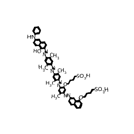 Cc1cc(N=Nc2cc(C)c(N=Nc3cc(C)c(N=Nc4ccc5cc(Nc6ccccc6)ccc5c4O)cc3C)cc2C)c(OCCCCS(=O)(=O)O)cc1N=Nc1ccc2cccc(OCCCCS(=O)(=O)O)c2c1